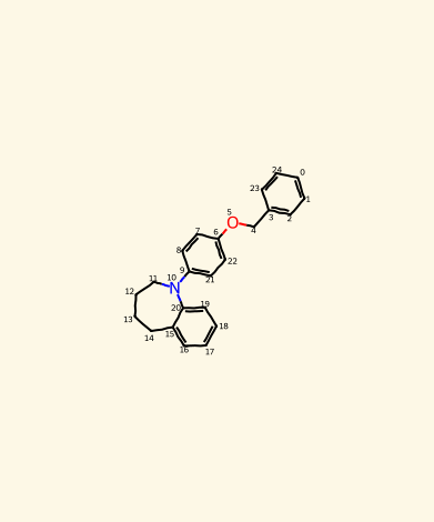 c1ccc(COc2ccc(N3CCCCc4ccccc43)cc2)cc1